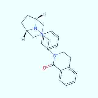 O=C1c2ccccc2CCN1CCN1C[C@H]2CC[C@@H](C1)N2c1ccccc1